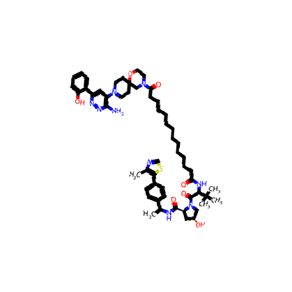 Cc1ncsc1-c1ccc(C(C)NC(=O)[C@@H]2C[C@@H](O)CN2C(=O)C(NC(=O)CCCCCCCCCCCCC(=O)N2CCOC3(CCN(c4cc(-c5ccccc5O)nnc4N)CC3)C2)C(C)(C)C)cc1